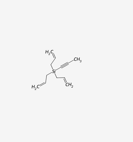 C=CC[Si](C#CC)(CC=C)CC=C